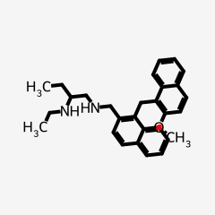 CCNC(CC)CNCc1ccc2ccccc2c1Cc1c(OC)ccc2ccccc12